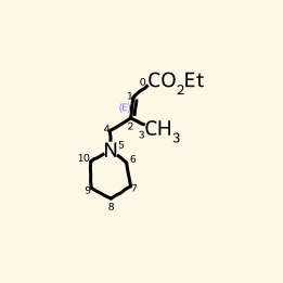 CCOC(=O)/C=C(\C)CN1CCCCC1